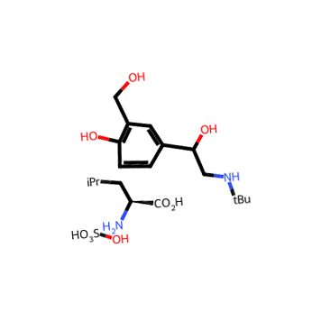 CC(C)(C)NCC(O)c1ccc(O)c(CO)c1.CC(C)C[C@H](N)C(=O)O.O=S(=O)(O)O